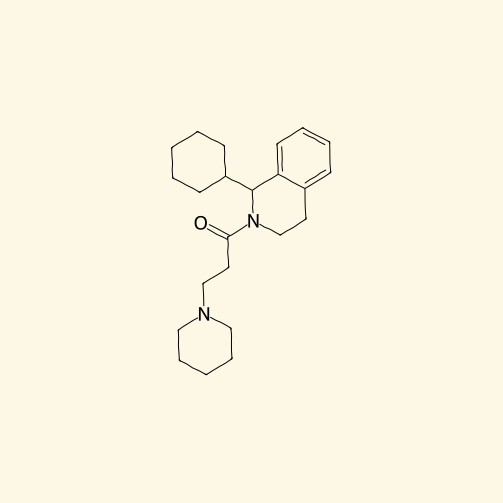 O=C(CCN1CCCCC1)N1CCc2ccccc2C1C1CCCCC1